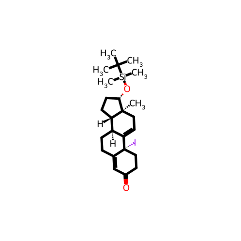 CC(C)(C)[Si](C)(C)O[C@H]1CC[C@H]2[C@@H]3CCC4=CC(=O)CC[C@]4(I)C3=CC[C@]12C